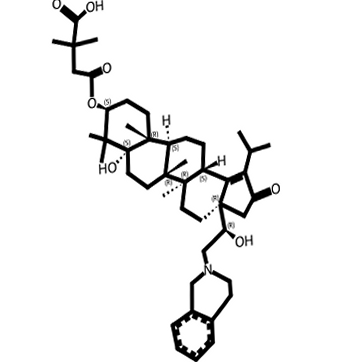 CC(C)C1=C2[C@H]3CC[C@@H]4[C@@]5(C)CC[C@H](OC(=O)CC(C)(C)C(=O)O)C(C)(C)[C@]5(O)CC[C@@]4(C)[C@]3(C)CC[C@@]2([C@@H](O)CN2CCc3ccccc3C2)CC1=O